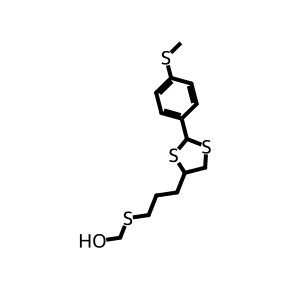 CSc1ccc(C2SCC(CCCSCO)S2)cc1